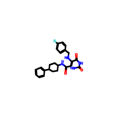 O=C(NC1CCC(c2ccccc2)CC1)c1[nH]c(=O)[nH]c(=O)c1NCc1ccc(F)cc1